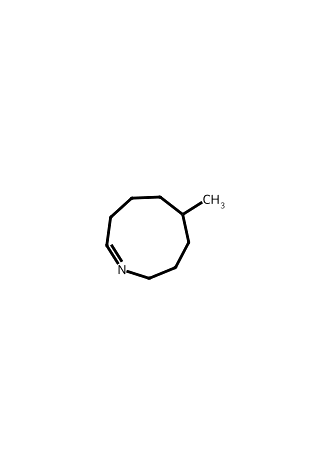 CC1CCC/C=N\CCC1